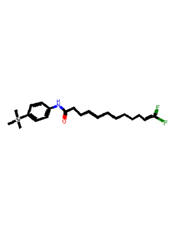 C[Si](C)(C)c1ccc(NC(=O)CCCCCCCCCC=C(F)F)cc1